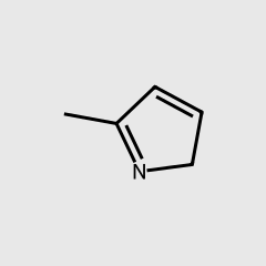 CC1=NCC=C1